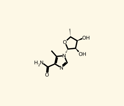 Cc1c(C(N)=O)ncn1[C@@H]1O[C@H](C)[C@@H](O)[C@H]1O